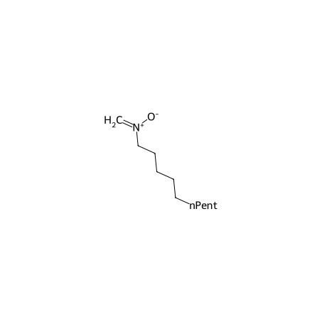 C=[N+]([O-])CCCCCCCCCC